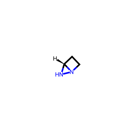 C1CN2N[C@H]12